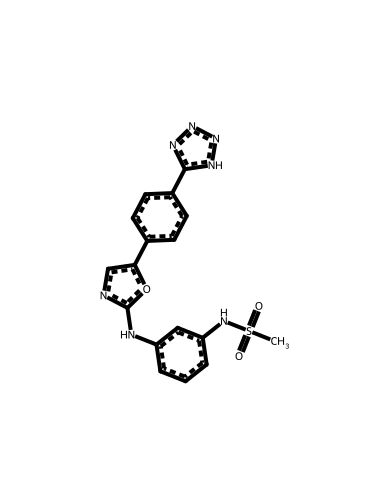 CS(=O)(=O)Nc1cccc(Nc2ncc(-c3ccc(-c4nnn[nH]4)cc3)o2)c1